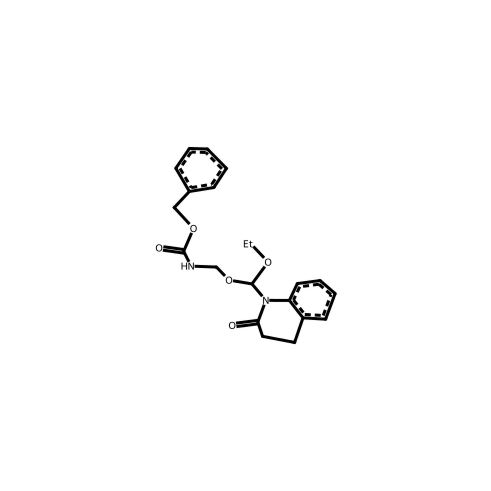 CCOC(OCNC(=O)OCc1ccccc1)N1C(=O)CCc2ccccc21